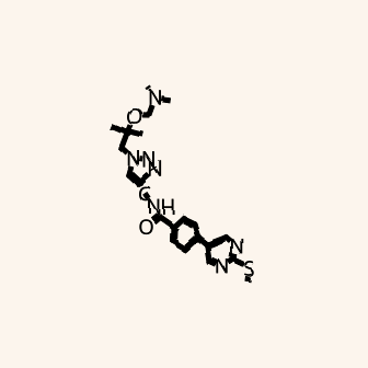 CSc1ncc(-c2ccc(C(=O)NCc3cn(CC(C)(C)OCN(C)C)nn3)cc2)cn1